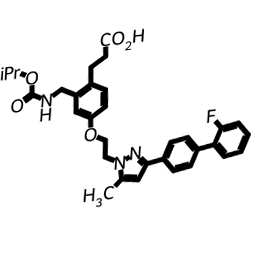 Cc1cc(-c2ccc(-c3ccccc3F)cc2)nn1CCOc1ccc(CCC(=O)O)c(CNC(=O)OC(C)C)c1